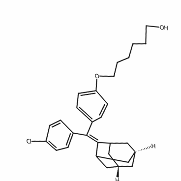 OCCCCCCOc1ccc(C(=C2C3C[C@H]4CC2C[C@@H](C3)C4)c2ccc(Cl)cc2)cc1